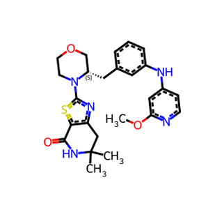 COc1cc(Nc2cccc(C[C@H]3COCCN3c3nc4c(s3)C(=O)NC(C)(C)C4)c2)ccn1